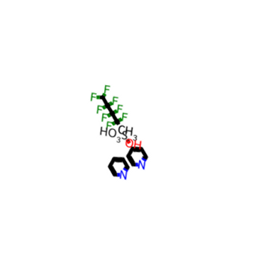 CC(F)(F)C(F)(F)C(F)(F)C(F)F.O=S(=O)(O)O.c1ccncc1.c1ccncc1